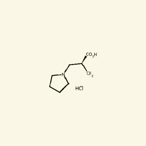 Cl.O=C(O)[C@H](CN1CCCC1)C(F)(F)F